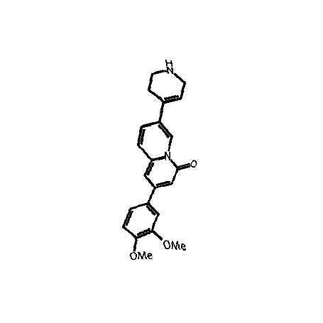 COc1ccc(-c2cc(=O)n3cc(C4=CCNCC4)ccc3c2)cc1OC